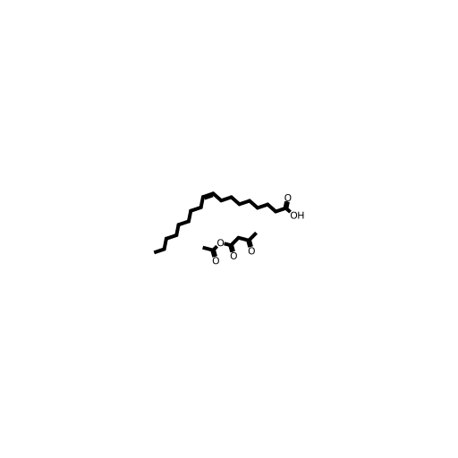 CC(=O)CC(=O)OC(C)=O.CCCCCCCC/C=C\CCCCCCCC(=O)O